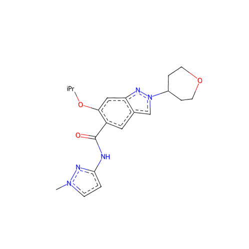 CC(C)Oc1cc2nn(C3CCOCC3)cc2cc1C(=O)Nc1ccn(C)n1